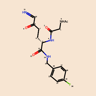 CC(=O)NCC(=O)N[C@@H](CCC(=O)C=N)C(=O)NCc1ccc(F)cc1